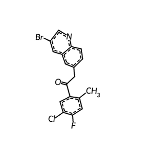 Cc1cc(F)c(Cl)cc1C(=O)Cc1ccc2ncc(Br)cc2c1